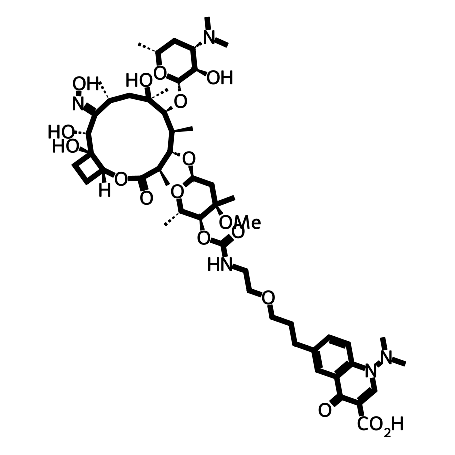 CO[C@]1(C)C[C@H](O[C@H]2[C@H](C)[C@@H](O[C@@H]3O[C@H](C)C[C@H](N(C)C)[C@H]3O)[C@](C)(O)C[C@@H](C)/C(=N\O)[C@@H](O)[C@@]3(O)CC[C@H]3OC(=O)[C@@H]2C)O[C@@H](C)[C@@H]1OC(=O)NCCOCCCc1ccc2c(c1)c(=O)c(C(=O)O)cn2N(C)C